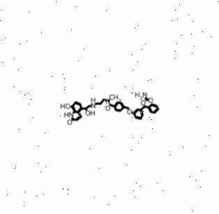 CN(CCCNCC(O)c1ccc(O)c2[nH]c(=O)ccc12)C(=O)c1ccc(COc2cccc(C(OC(N)=O)c3ccccc3)c2)cc1